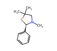 CN1CC(C)(C)S[C@@H]1c1ccccc1